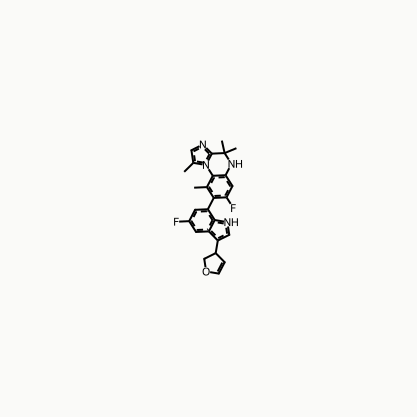 Cc1c(-c2cc(F)cc3c(C4C=COC4)c[nH]c23)c(F)cc2c1-n1c(C)cnc1C(C)(C)N2